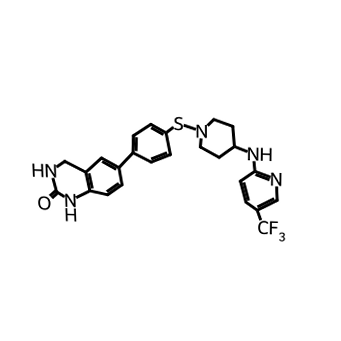 O=C1NCc2cc(-c3ccc(SN4CCC(Nc5ccc(C(F)(F)F)cn5)CC4)cc3)ccc2N1